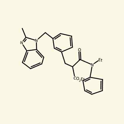 CCOC(=O)C(Cc1cccc(Cn2c(C)nc3ccccc32)c1)C(=O)N(CC)c1ccccc1